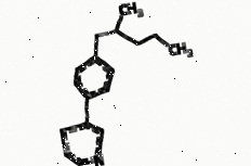 CCCC(C)Cc1ccc(-c2cccnc2)cc1